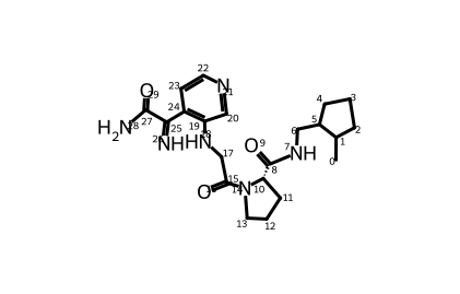 CC1CCCC1CNC(=O)[C@@H]1CCCN1C(=O)CNc1cnccc1C(=N)C(N)=O